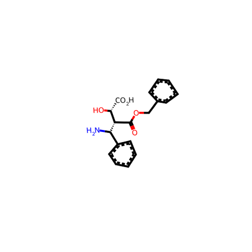 NC(c1ccccc1)[C@@H](C(=O)OCc1ccccc1)[C@H](O)C(=O)O